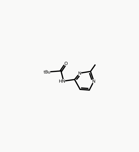 Cc1nccc(NC(=O)C(C)(C)C)n1